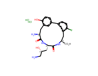 Cl.Cl.NC[C@H](O)C[C@@H]1NC(=O)[C@@H](N)Cc2cc(ccc2O)-c2ccc(F)c(c2)C[C@@H](C(=O)O)NC1=O